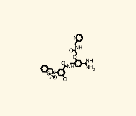 CS(=O)(=O)N(Cc1ccccc1)c1cc(Cl)cc(C(=O)NCc2ccc(C(=N)N)cc2OCC(=O)NCc2ccccn2)c1